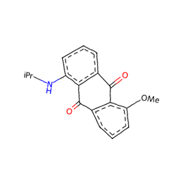 COc1cccc2c1C(=O)c1cccc(NC(C)C)c1C2=O